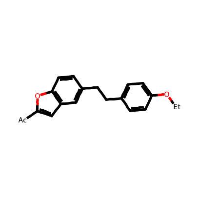 CCOc1ccc(CCc2ccc3oc(C(C)=O)cc3c2)cc1